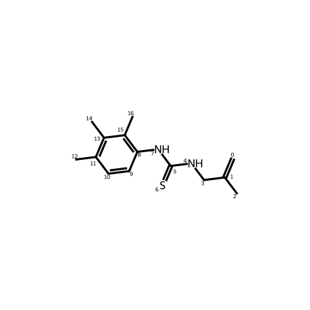 C=C(C)CNC(=S)Nc1ccc(C)c(C)c1C